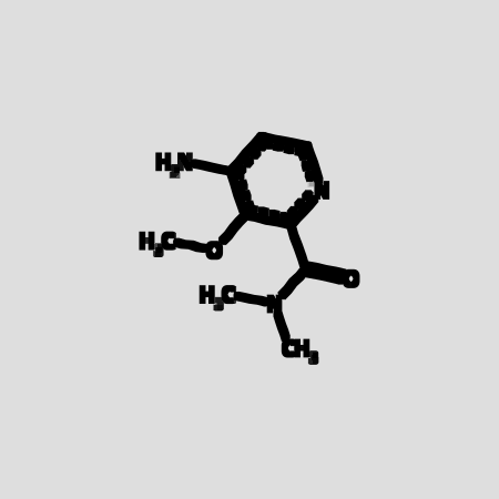 COc1c(N)ccnc1C(=O)N(C)C